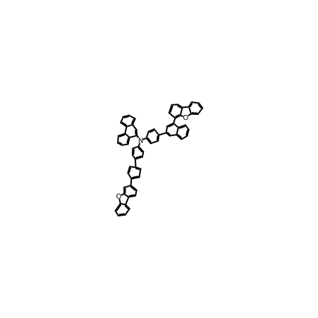 c1ccc2c(-c3cccc4c3oc3ccccc34)cc(-c3ccc(N(c4ccc(-c5ccc(-c6ccc7c(c6)oc6ccccc67)cc5)cc4)c4cc5ccccc5c5ccccc45)cc3)cc2c1